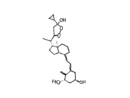 C=C1/C(=C\C=C2/CCC[C@@]3(C)C2CC[C@@H]3C(C)C2CC(O)(C3CC3)OO2)C[C@@H](O)C[C@@H]1O